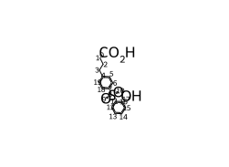 O=C(O)CCCc1ccc(S(=O)(=O)c2ccccc2O)cc1